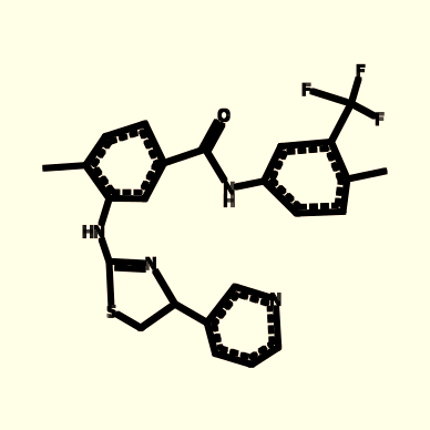 Cc1ccc(C(=O)Nc2ccc(C)c(C(F)(F)F)c2)cc1NC1=NC(c2cccnc2)CS1